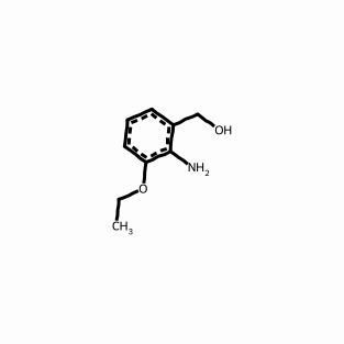 CCOc1cccc(CO)c1N